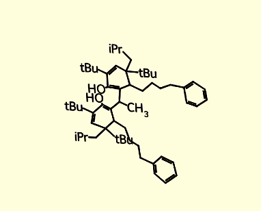 CC(C)CC1(C(C)(C)C)C=C(C(C)(C)C)C(O)=C(C(C)C2=C(O)C(C(C)(C)C)=CC(CC(C)C)(C(C)(C)C)C2CCCCc2ccccc2)C1CCCCc1ccccc1